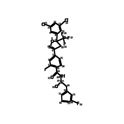 Cc1cc(C2=NOC(c3cc(Cl)cc(Cl)c3)(C(F)(F)F)C2)ccc1C(=O)N[S+]([O-])Cc1cccc(F)c1